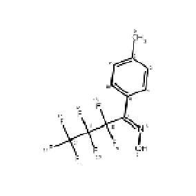 Cc1ccc(C(=NO)C(F)(F)C(F)(F)C(F)(F)F)cc1